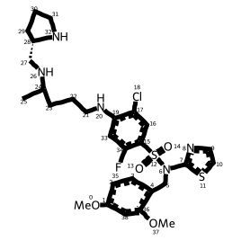 COc1ccc(CN(c2nccs2)S(=O)(=O)c2cc(Cl)c(NCCCC(C)NC[C@@H]3CCCN3)cc2F)c(OC)c1